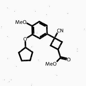 COC(=O)C1CC(C#N)(c2ccc(OC)c(OC3CCCC3)c2)C1